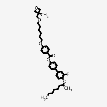 CCCCCCC(C)Oc1ccc(-c2ccc(OC(=O)c3ccc(OCCCCCCOCC4(C)COC4)cc3)cc2)cc1F